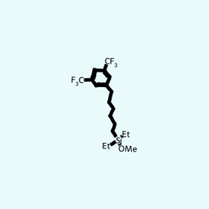 CC[Si](CC)(CCCCCCc1cc(C(F)(F)F)cc(C(F)(F)F)c1)OC